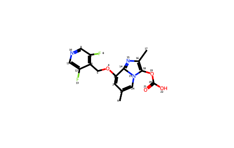 Cc1cc(OCc2c(F)cncc2F)c2nc(C)c(OC(=O)O)n2c1